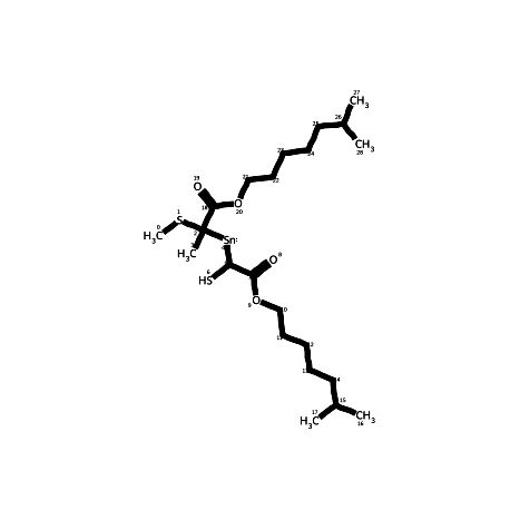 CS[C](C)([Sn][CH](S)C(=O)OCCCCCC(C)C)C(=O)OCCCCCC(C)C